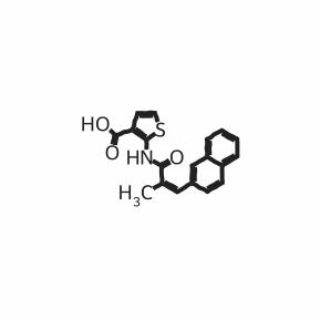 CC(=Cc1ccc2ccccc2c1)C(=O)Nc1sccc1C(=O)O